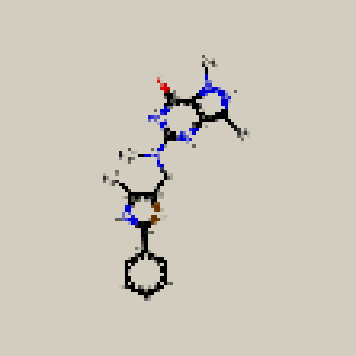 CCCc1nn(C)c2c(=O)[nH]c(N(C)Cc3sc(-c4ccccc4)nc3C)nc12